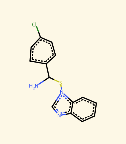 NC(Sn1cnc2ccccc21)c1ccc(Cl)cc1